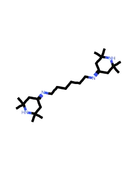 CC1(C)CC(=NCCCCCCN=C2CC(C)(C)NC(C)(C)C2)CC(C)(C)N1